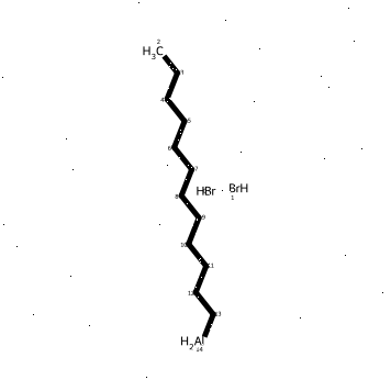 Br.Br.CCCCCCCCCCC[CH2][AlH2]